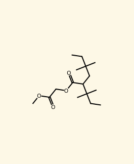 CCC(C)(C)CC(C(=O)OCC(=O)OC)C(C)(C)CC